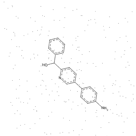 Nc1ccc(-c2ccc(C(O)c3ccccc3)nc2)cc1